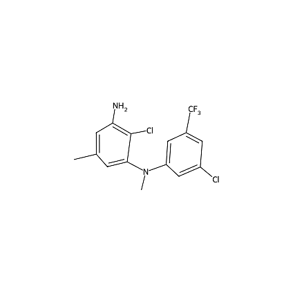 Cc1cc(N)c(Cl)c(N(C)c2cc(Cl)cc(C(F)(F)F)c2)c1